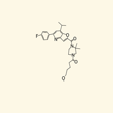 COCCCCC(=O)N1CCN(C(=O)c2cc3nc(-c4ccc(F)cc4)cc(C(C)C)c3o2)C(C)(C)C1